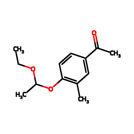 CCOC(C)Oc1ccc(C(C)=O)cc1C